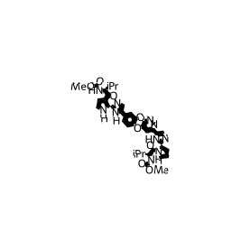 COC(=O)N[C@H](C(=O)C1CCN[C@H]1c1ncc(-c2ccc3c(c2)Oc2nnc(-c4cnc([C@@H]5CCCN5C(=O)[C@@H](NC(=O)OC)C(C)C)[nH]4)cc2O3)[nH]1)C(C)C